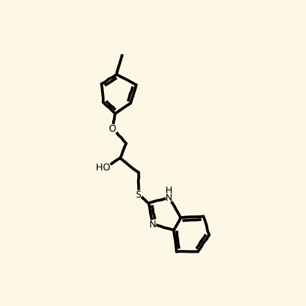 Cc1ccc(OCC(O)CSc2nc3ccccc3[nH]2)cc1